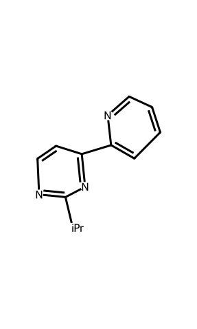 CC(C)c1nccc(-c2ccccn2)n1